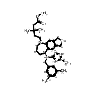 COC(=O)CC(C)(C)CCN1CCC[C@H](N(Cc2cc(C)cc(C)c2)c2nnn(C)n2)c2cc3c(cc21)COC3